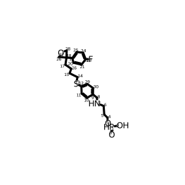 O=[PH](O)OCCCNCc1ccc(SCCCCC2(c3ccc(F)cc3)COC2)cc1